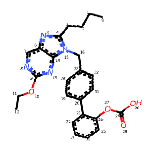 CCCCc1nc2cnc(OCC)nc2n1Cc1ccc(-c2ccccc2OC(=O)O)cc1